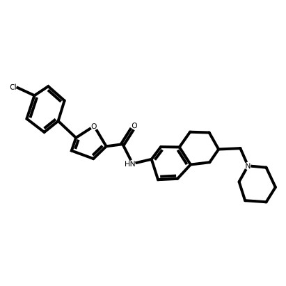 O=C(Nc1ccc2c(c1)CCC(CN1CCCCC1)C2)c1ccc(-c2ccc(Cl)cc2)o1